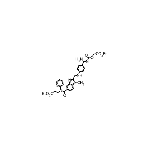 CCOC(=O)CCN(C(=O)c1ccc2c(c1)nc(CNc1ccc(/C(N)=N/C(=O)OCC(=O)OCC)cc1)n2C)c1ccccn1